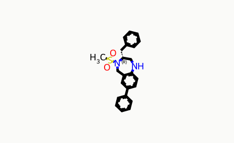 CS(=O)(=O)N1Cc2cc(-c3ccccc3)ccc2NC[C@H]1Cc1ccccc1